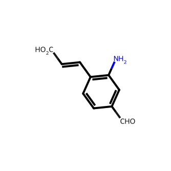 Nc1cc(C=O)ccc1C=CC(=O)O